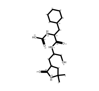 CC1(C)CC(CC(CO)NC(=O)C(CC2CCCCC2)NC(=O)O)C(=O)N1